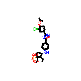 CCC1[C@@H](Nc2ccc(-c3nc(-c4ccc(OC(C)C)c(Cl)c4)no3)cc2)CC[C@@]1(CC)P(=O)(O)O